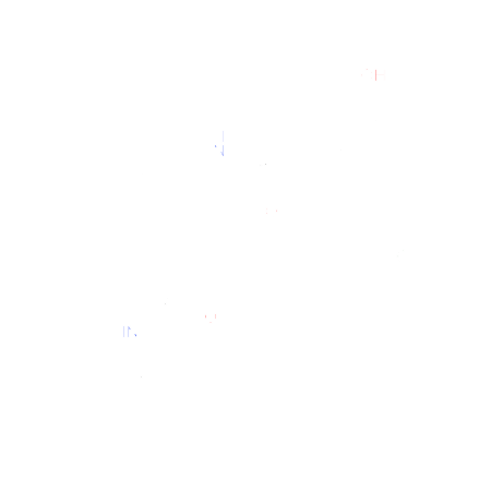 Cc1cc(NC(=O)Cc2cc(Cl)ccc2O)cc(C(=O)NC(C)(C)C)c1